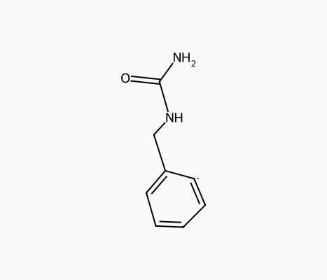 NC(=O)NCc1[c]cccc1